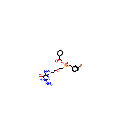 Nc1nc2c(ncn2CCOCCP(=O)(OCC(=O)C2CCCCC2)OCc2cccc(Br)c2)c(=O)[nH]1